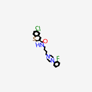 O=C(NCCCCN1CCN(c2ccccc2F)CC1)C1=Cc2cc(Cl)ccc2SC1